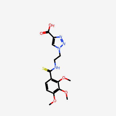 COc1ccc(C(=S)NCCn2cc(C(=O)O)nn2)c(OC)c1OC